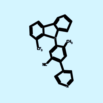 Cc1cc(-c2ccncc2)c(C#N)cc1-n1c2ccccc2c2cccc(C(F)(F)F)c21